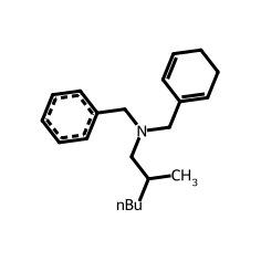 CCCCC(C)CN(CC1=CCCC=C1)Cc1ccccc1